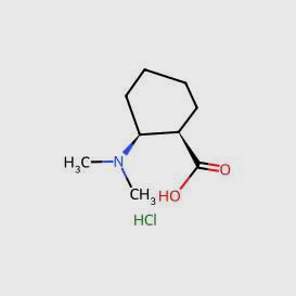 CN(C)[C@H]1CCCC[C@H]1C(=O)O.Cl